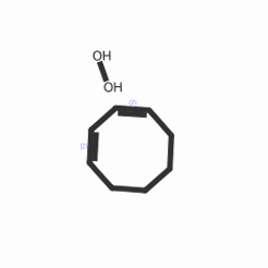 C1=C\CCCC\C=C/1.OO